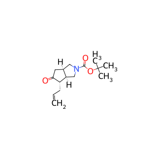 C=CC[C@@H]1C(=O)C[C@H]2CN(C(=O)OC(C)(C)C)C[C@H]21